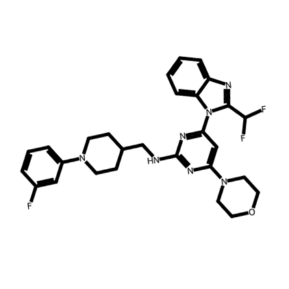 Fc1cccc(N2CCC(CNc3nc(N4CCOCC4)cc(-n4c(C(F)F)nc5ccccc54)n3)CC2)c1